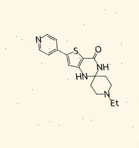 CCN1CCC2(CC1)NC(=O)c1sc(-c3ccncc3)cc1N2